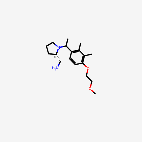 COCCOc1ccc(C(C)N2CCC[C@H]2CN)c(C)c1C